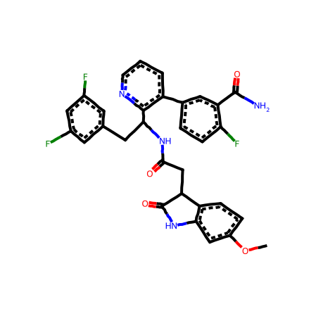 COc1ccc2c(c1)NC(=O)C2CC(=O)NC(Cc1cc(F)cc(F)c1)c1ncccc1-c1ccc(F)c(C(N)=O)c1